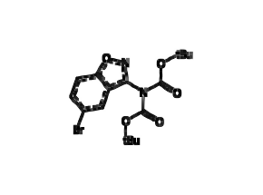 CC(C)(C)OC(=O)N(C(=O)OC(C)(C)C)c1noc2ccc(Br)cc12